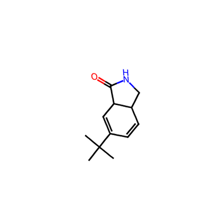 CC(C)(C)C1=CC2C(=O)NCC2C=C1